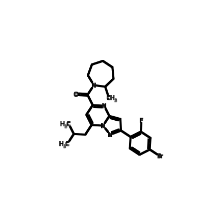 CC(C)Cc1cc(C(=O)N2CCCCCC2C)nc2cc(-c3ccc(Br)cc3F)nn12